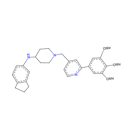 COc1cc(-c2cc(CN3CCC(Nc4ccc5c(c4)CCC5)CC3)ccn2)cc(OC)c1OC